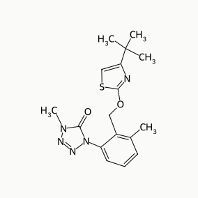 Cc1cccc(-n2nnn(C)c2=O)c1COc1nc(C(C)(C)C)cs1